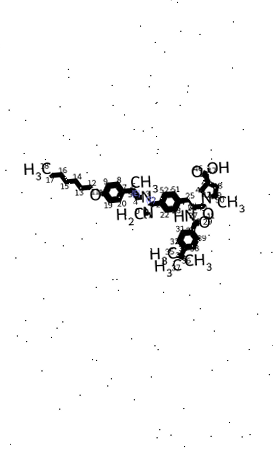 C=N/C(=N\C=C(/C)c1ccc(OCCCCCCC)cc1)c1ccc(C[C@H](NC(=O)c2ccc(C(C)(C)C)cc2)C(=O)N2CC(C(=O)O)CC2C)cc1